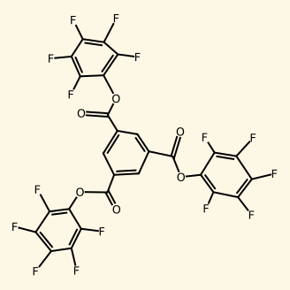 O=C(Oc1c(F)c(F)c(F)c(F)c1F)c1cc(C(=O)Oc2c(F)c(F)c(F)c(F)c2F)cc(C(=O)Oc2c(F)c(F)c(F)c(F)c2F)c1